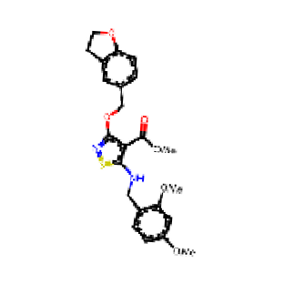 COC(=O)c1c(OCc2ccc3c(c2)CCO3)nsc1NCc1ccc(OC)cc1OC